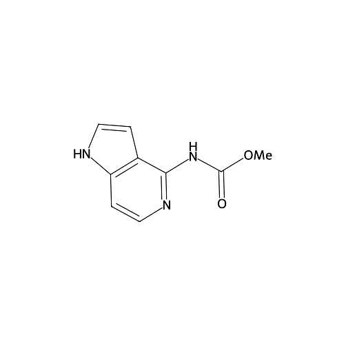 COC(=O)Nc1nccc2[nH]ccc12